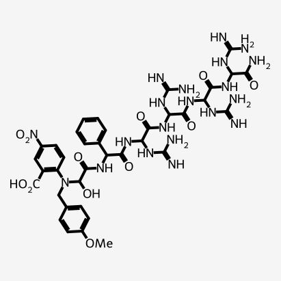 COc1ccc(CN(c2ccc([N+](=O)[O-])cc2C(=O)O)C(O)C(=O)NC(C(=O)NC(NC(=N)N)C(=O)NC(NC(=N)N)C(=O)NC(NC(=N)N)C(=O)NC(NC(=N)N)C(N)=O)c2ccccc2)cc1